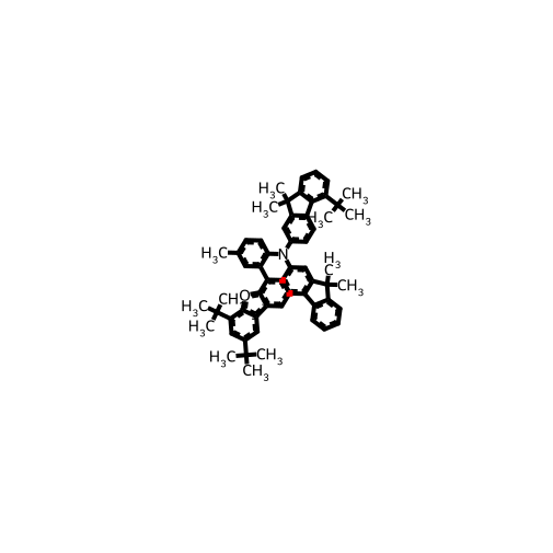 Cc1ccc(N(c2ccc3c(c2)C(C)(C)c2ccccc2-3)c2ccc3c(c2)C(C)(C)c2cccc(C(C)(C)C)c2-3)c(-c2cccc3c2oc2c(C(C)(C)C)cc(C(C)(C)C)cc23)c1